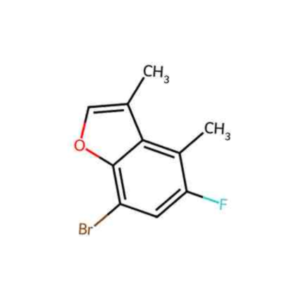 Cc1coc2c(Br)cc(F)c(C)c12